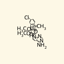 C[C@@H](c1ccc(Cl)cc1)[C@H]1O[C@@H](n2ccc3c(N)ncnc32)[C@@H]2OC(C)(C)O[C@@H]21